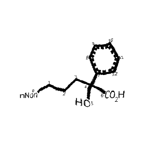 CCCCCCCCCCCCC(O)(C(=O)O)c1ccccc1